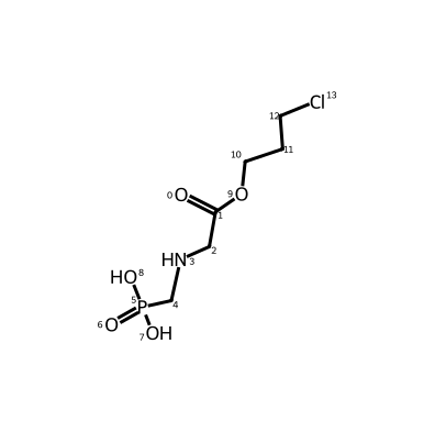 O=C(CNCP(=O)(O)O)OCCCCl